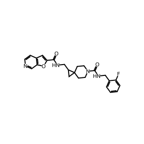 O=C(NCC1CC12CCN(C(=O)NCc1ccccc1F)CC2)c1cc2ccncc2o1